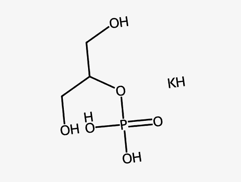 O=P(O)(O)OC(CO)CO.[KH]